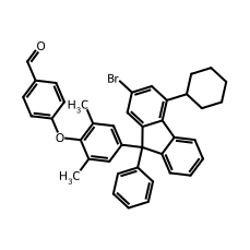 Cc1cc(C2(c3ccccc3)c3ccccc3-c3c(C4CCCCC4)cc(Br)cc32)cc(C)c1Oc1ccc(C=O)cc1